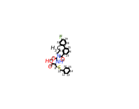 CCCN(C(=O)NC(CSCc1ccccc1)C(=O)O)C(=O)c1cccc(-c2ccc(F)cc2)c1